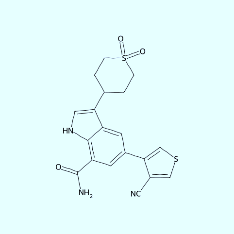 N#Cc1cscc1-c1cc(C(N)=O)c2[nH]cc(C3CCS(=O)(=O)CC3)c2c1